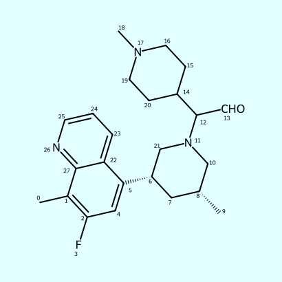 Cc1c(F)cc([C@H]2C[C@@H](C)CN(C(C=O)C3CCN(C)CC3)C2)c2cccnc12